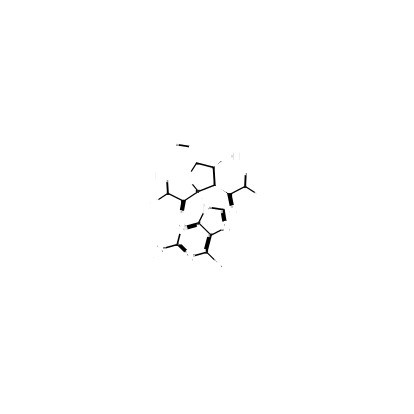 CC(C)C(=O)[C@@H]1[C@H](O)[C@@H](CO)O[C@@]1(C(=O)C(C)C)n1cnc2c(N)nc(N)nc21